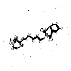 O=C1c2ccccc2C(=O)N1CCCCCCc1cnccn1